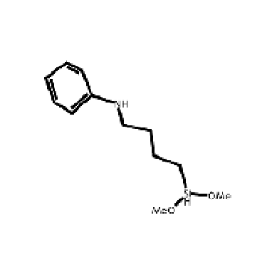 CO[SiH](CCCCNc1ccccc1)OC